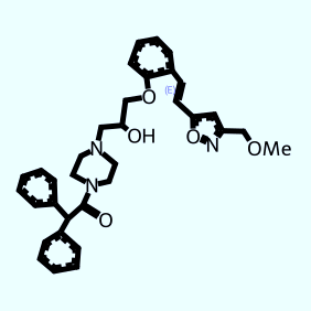 COCc1cc(/C=C/c2ccccc2OCC(O)CN2CCN(C(=O)C(c3ccccc3)c3ccccc3)CC2)on1